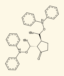 CC(C)(C)C(O[SiH](c1ccccc1)c1ccccc1)[C@H]1CCC(=O)[C@@H]1C(O[SiH](c1ccccc1)c1ccccc1)C(C)(C)C